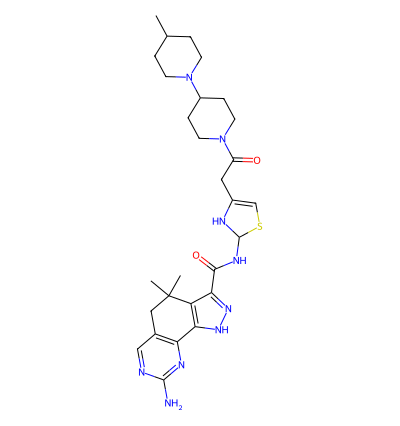 CC1CCN(C2CCN(C(=O)CC3=CSC(NC(=O)c4n[nH]c5c4C(C)(C)Cc4cnc(N)nc4-5)N3)CC2)CC1